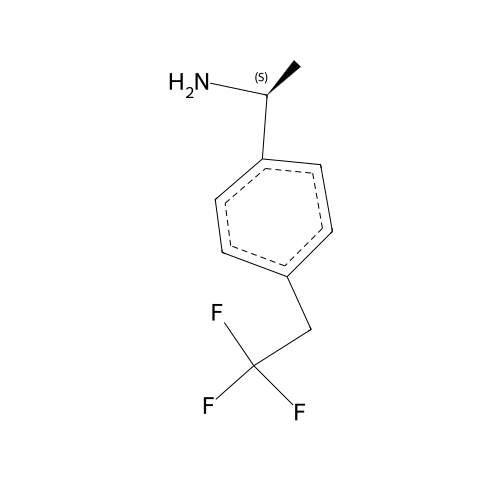 C[C@H](N)c1ccc(CC(F)(F)F)cc1